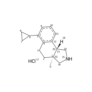 C[C@]12CCc3c(C4CC4)cccc3[C@@H]1CNC2.Cl